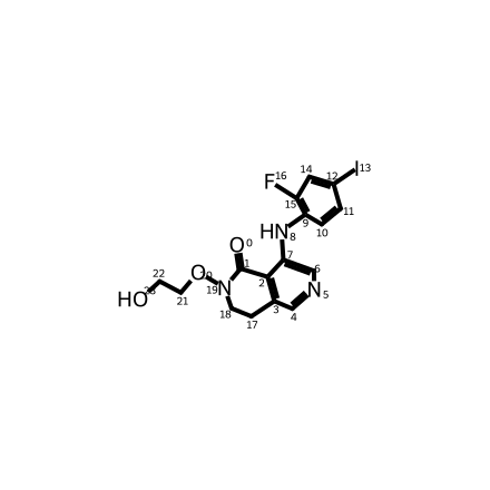 O=C1c2c(cncc2Nc2ccc(I)cc2F)CCN1OCCO